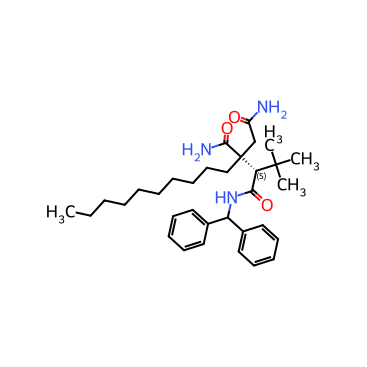 CCCCCCCCCCC(CC(N)=O)(C(N)=O)[C@@H](C(=O)NC(c1ccccc1)c1ccccc1)C(C)(C)C